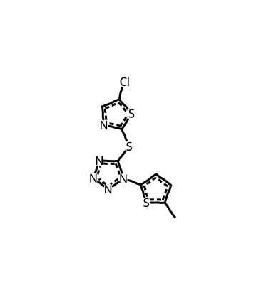 Cc1ccc(-n2nnnc2Sc2ncc(Cl)s2)s1